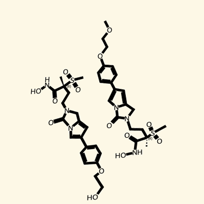 COCCOc1ccc(-c2cc3n(c2)C(=O)N(CC[C@](C)(C(=O)NO)S(C)(=O)=O)C3)cc1.C[C@@](CCN1Cc2cc(-c3ccc(OCCO)cc3)cn2C1=O)(C(=O)NO)S(C)(=O)=O